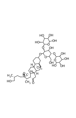 C[C@@H](CO)CCC(=O)[C@@H](C)[C@H]1C(=O)C[C@H]2[C@@H]3CC=C4CC(O[C@@H]5OC(CO)[C@@H](O[C@@H]6OC(O)[C@H](O)C(O)[C@@H]6O)C(O)[C@@H]5O[C@@H]5OC(O)[C@H](O)C(O)[C@@H]5O)CC[C@]4(C)[C@H]3CC[C@]12C